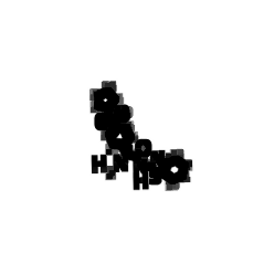 NC(C(=O)Nc1nc2c(s1)CCCC2)c1ccc(S(=O)(=O)C2CCCC2)cc1